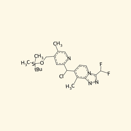 Cc1cnc(C(Cl)c2ccn3c(C(F)F)nnc3c2C)cc1CO[Si](C)(C)C(C)(C)C